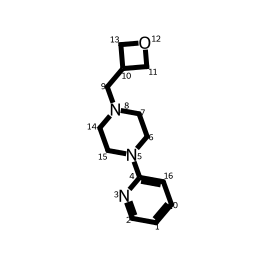 [c]1ccnc(N2CCN(CC3COC3)CC2)c1